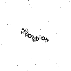 O=C(Nc1nc2ccc(Sc3nnc4ccc(Oc5ccc(C(F)(F)F)cc5)nn34)cc2s1)C1CC1